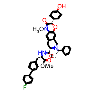 CC[C@@H](c1ccccc1)N1Cc2cc3c(cc2C[C@H]1C(=O)N[C@@H](Cc1ccc(-c2ccc(F)cc2)cc1)C(=O)OC)N(C)C(=O)[C@H](c1ccc(O)cc1)O3